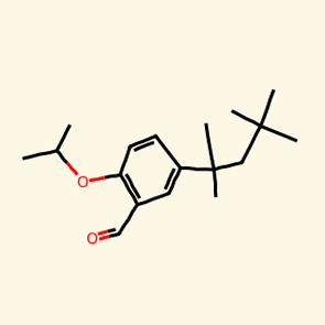 CC(C)Oc1ccc(C(C)(C)CC(C)(C)C)cc1C=O